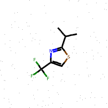 C[C](C)c1nc(C(F)(F)F)cs1